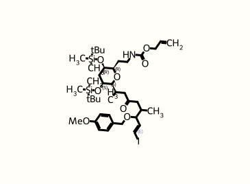 C=CCOC(=O)NCC[C@H]1O[C@@H](C(C)CC(=O)CC(C)C(/C=C/I)OCc2ccc(OC)cc2)[C@@H](O[Si](C)(C)C(C)(C)C)C[C@H]1O[Si](C)(C)C(C)(C)C